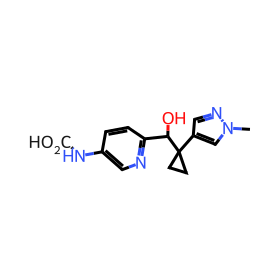 Cn1cc(C2(C(O)c3ccc(NC(=O)O)cn3)CC2)cn1